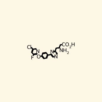 NC(CC(=O)O)Cc1cncc(-c2ccc(Oc3ncc(Cl)cc3F)cc2)n1